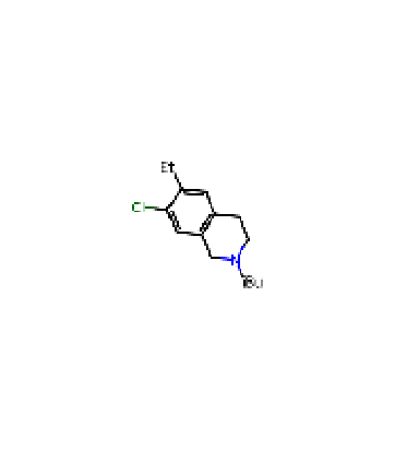 CCc1cc2c(cc1Cl)CN(C(C)CC)CC2